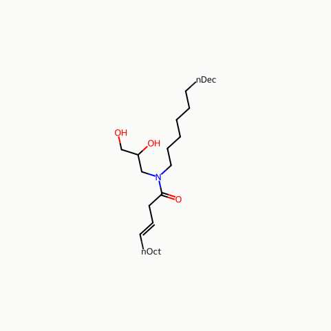 CCCCCCCC/C=C/CC(=O)N(CCCCCCCCCCCCCCCC)CC(O)CO